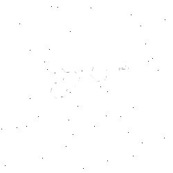 COc1ccc2c(=O)cc(-c3ccc(C#N)cc3)oc2c1